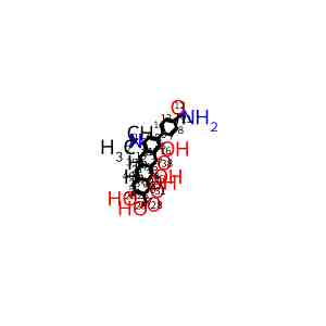 CN(C)c1cc(-c2ccc(C(N)=O)cc2)c(O)c2c1C[C@H]1C[C@H]3CC(O)=C(C(=O)O)C(=O)[C@@]3(O)C(O)=C1C2=O